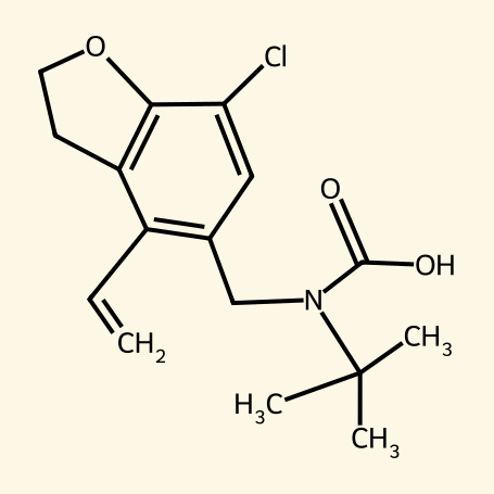 C=Cc1c(CN(C(=O)O)C(C)(C)C)cc(Cl)c2c1CCO2